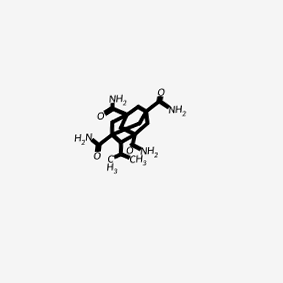 CC(C)C1C2(C(N)=O)CC3(C(N)=O)CC(C(N)=O)(C2)CC1(C(N)=O)C3